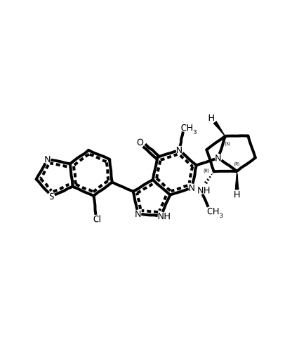 CN[C@@H]1C[C@@H]2CC[C@H]1N2c1nc2[nH]nc(-c3ccc4ncsc4c3Cl)c2c(=O)n1C